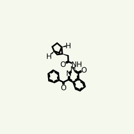 O=C(C[C@H]1C[C@@H]2CC[C@H]1C2)Nn1nc(C(=O)c2ccccc2)c2ccccc2c1=O